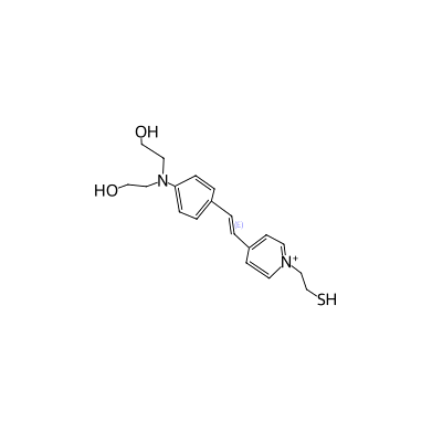 OCCN(CCO)c1ccc(/C=C/c2cc[n+](CCS)cc2)cc1